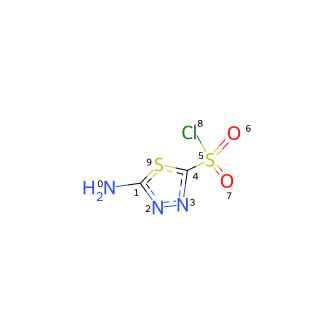 Nc1nnc(S(=O)(=O)Cl)s1